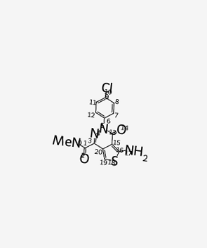 CNC(=O)c1nn(-c2ccc(Cl)cc2)c(=O)c2c(N)scc12